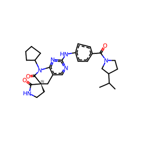 CC(C)C1CCN(C(=O)c2ccc(Nc3ncc4c(n3)N(C3CCCC3)C(=O)[C@]3(CCNC3=O)C4)cc2)C1